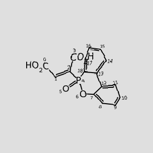 O=C(O)/C=C(\C(=O)O)P1(=O)Oc2ccccc2-c2ccccc21